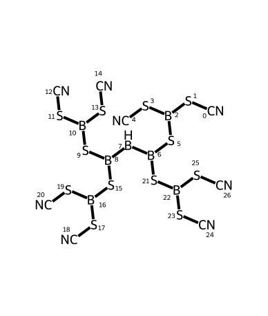 N#CSB(SC#N)SB(BB(SB(SC#N)SC#N)SB(SC#N)SC#N)SB(SC#N)SC#N